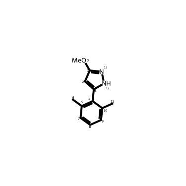 COc1cc(-c2c(C)cccc2C)[nH]n1